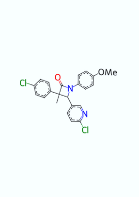 COc1ccc(N2C(=O)C(C)(c3ccc(Cl)cc3)C2c2ccc(Cl)nc2)cc1